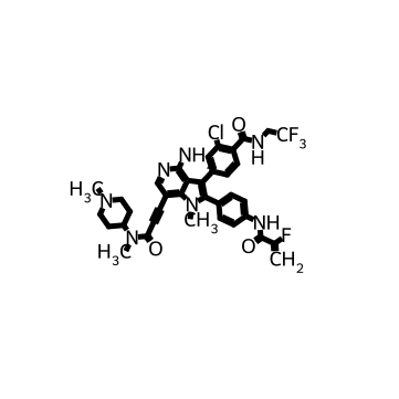 C=C(F)C(=O)Nc1ccc(-c2c(-c3ccc(C(=O)NCC(F)(F)F)c(Cl)c3)c3c(N)ncc(C#CC(=O)N(C)C4CCN(C)CC4)c3n2C)cc1